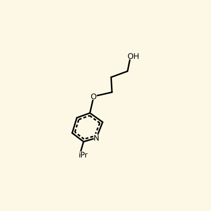 CC(C)c1ccc(OCCCO)cn1